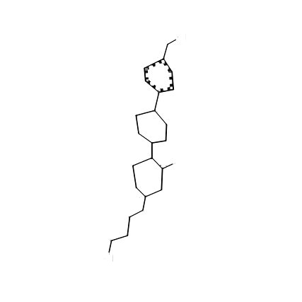 CCCCCC1CCC(C2CCC(c3ccc(CC)cc3)CC2)C(C)C1